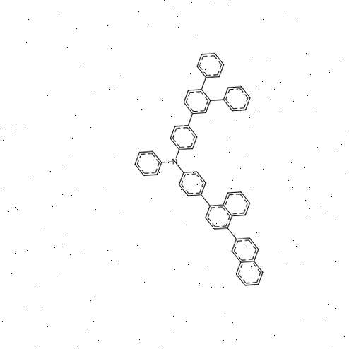 c1ccc(-c2ccc(-c3ccc(N(c4ccccc4)c4ccc(-c5ccc(-c6ccc7ccccc7c6)c6ccccc56)cc4)cc3)cc2-c2ccccc2)cc1